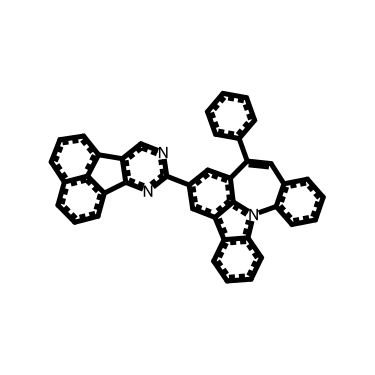 C1=C(c2ccccc2)c2cc(-c3ncc4c(n3)-c3cccc5cccc-4c35)cc3c4ccccc4n(c23)-c2ccccc21